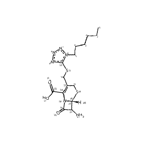 CCCCCCn1nnnc1SCC1=C(C(=O)O)N2C(=O)C(N)[C@H]2SC1